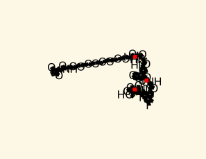 CC[C@@]1(O)C(=O)OCc2c1cc1n(c2=O)Cc2c-1nc1cc(F)c(C)c3c1c2[C@@H](NC(=O)C(C)(C)NC(=O)OC(C(=O)N1CCOCC1)c1ccc(NC(=O)[C@H](C)NC(=O)[C@H](C)NC(=O)CCOCCOCCOCCOCCOCCOCCOCCOCCNC(=O)CCN2C(=O)C=CC2=O)cc1)CC3